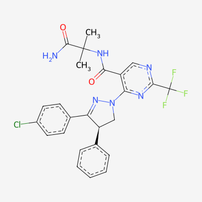 CC(C)(NC(=O)c1cnc(C(F)(F)F)nc1N1C[C@@H](c2ccccc2)C(c2ccc(Cl)cc2)=N1)C(N)=O